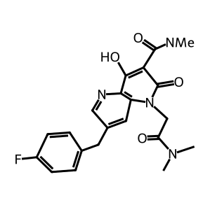 CNC(=O)c1c(O)c2ncc(Cc3ccc(F)cc3)cc2n(CC(=O)N(C)C)c1=O